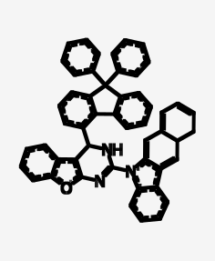 C1=CCC2C=c3c(n(C4=Nc5oc6ccccc6c5C(c5cccc6c5-c5ccccc5C6(c5ccccc5)c5ccccc5)N4)c4ccccc34)=CC2=C1